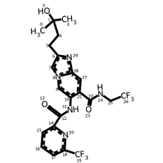 CC(C)(O)CCc1cn2cc(NC(=O)c3cccc(C(F)(F)F)n3)c(C(=O)NCC(F)(F)F)cc2n1